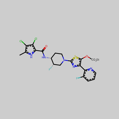 CCOC(=O)Oc1sc(N2CC[C@@H](NC(=O)c3[nH]c(C)c(Cl)c3Cl)[C@@H](F)C2)nc1-c1ncccc1F